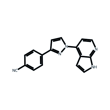 N#Cc1ccc(-c2ccn(-c3ccnc4[nH]ccc34)n2)cc1